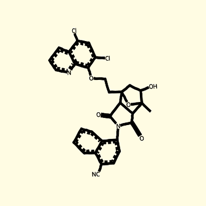 CC12OC(CCOc3c(Cl)cc(Cl)c4cccnc34)(CC1O)C1C(=O)N(c3ccc(C#N)c4ccccc34)C(=O)C12